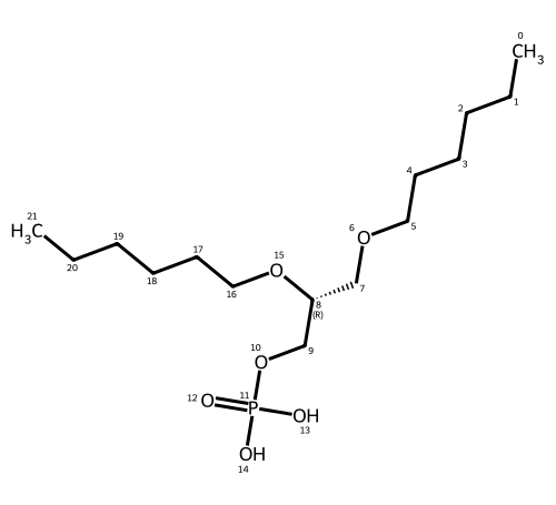 CCCCCCOC[C@H](COP(=O)(O)O)OCCCCCC